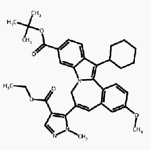 CCOC(=O)c1cnn(C)c1C1=Cc2cc(OC)ccc2-c2c(C3CCCCC3)c3ccc(C(=O)OC(C)(C)C)cc3n2C1